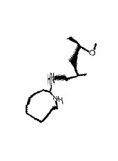 COC(C)CC(C)CNC1CCCCCCCN1